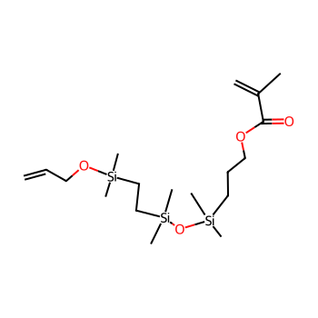 C=CCO[Si](C)(C)CC[Si](C)(C)O[Si](C)(C)CCCOC(=O)C(=C)C